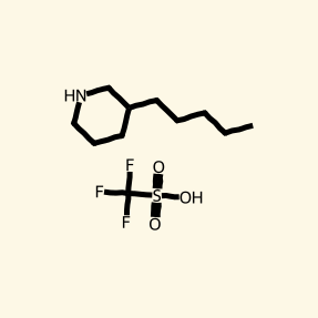 CCCCCC1CCCNC1.O=S(=O)(O)C(F)(F)F